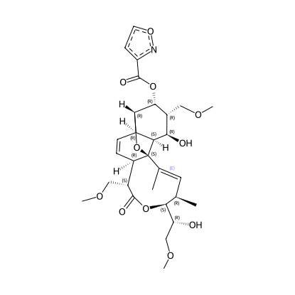 COC[C@@H]1[C@@H](O)[C@@H]2[C@H]3C=C[C@@H]4[C@@H](COC)C(=O)O[C@H]([C@H](O)COC)[C@H](C)/C=C(\C)[C@@]24O[C@H]3[C@@H]1OC(=O)c1ccon1